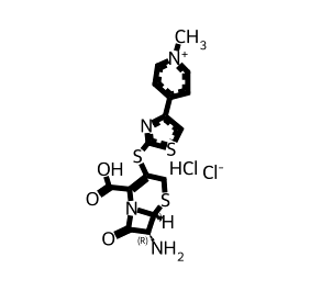 C[n+]1ccc(-c2csc(SC3=C(C(=O)O)N4C(=O)[C@@H](N)[C@H]4SC3)n2)cc1.Cl.[Cl-]